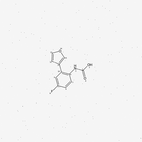 O=C(O)Nc1ccc(F)cc1-c1ccoc1